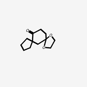 O=C1CCC2(CC13CCCC3)OCCO2